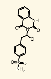 NS(=O)(=O)c1ccc(CC(Cl)n2c(=O)[nH]c3ccccc3c2=O)cc1